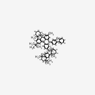 Cc1cc2c3c(c1)N(c1ccc4c(c1)oc1ccccc14)c1cc(N4c5cc6c(cc5C5(C)CCCCC45C)C(C)(C)CCC6(C)C)ccc1B3c1cc(C(C)(C)C)cc3c1C2C1(C)CCCCC31C